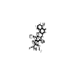 CCn1c(=O)n(Cc2ccc3c(C)cccc3c2)c(=O)c2c1nc(C(C)N)n2C